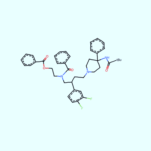 CC(C)(C)C(=O)NC1(c2ccccc2)CCN(CCC(CN(CCOC(=O)c2ccccc2)C(=O)c2ccccc2)c2ccc(F)c(F)c2)CC1